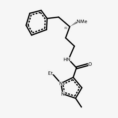 CCn1nc(C)cc1C(=O)NCC[C@H](Cc1ccccc1)NC